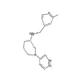 Cc1cc(CNC2CCCN(c3ccnnc3)C2)ccn1